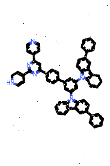 C1=Cc2c(c3cc(-c4ccccc4)ccc3n2-c2cc(-c3ccc(-c4cc(-c5ccncc5)nc(C5=CCNC=C5)n4)cc3)cc(-n3c4ccccc4c4cc(-c5ccccc5)ccc43)c2)CC1